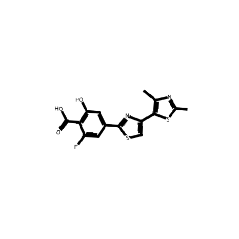 Cc1nc(C)c(-c2csc(-c3cc(O)c(C(=O)O)c(F)c3)n2)s1